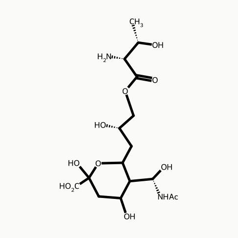 CC(=O)N[C@@H](O)C1C(O)CC(O)(C(=O)O)OC1C[C@H](O)COC(=O)[C@H](N)[C@H](C)O